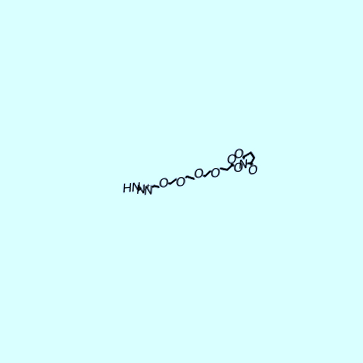 N=[N+]=NCCOCCOCCOCCOCCC(=O)ON1C(=O)CCC1=O